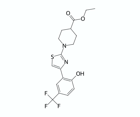 CCOC(=O)C1CCN(c2nc(-c3cc(C(F)(F)F)ccc3O)cs2)CC1